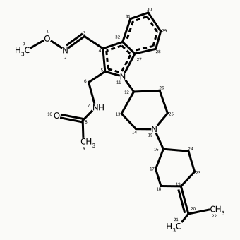 CON=Cc1c(CNC(C)=O)n(C2CCN(C3CCC(=C(C)C)CC3)CC2)c2ccccc12